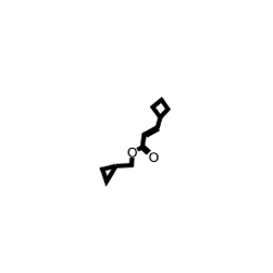 O=C(C=CC1CCC1)OCC1CC1